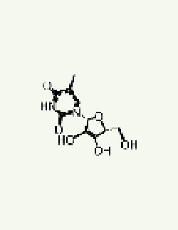 Cc1cn([C@@H]2O[C@H](CO)C(O)=C2O)c(=O)[nH]c1=O